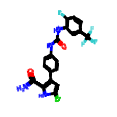 NC(=O)c1[nH]c(Cl)cc1-c1ccc(NC(=O)Nc2cc(C(F)(F)F)ccc2F)cc1